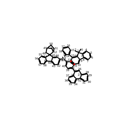 CC1(C)c2ccccc2-c2cccc(-c3ccccc3N(c3ccc(-c4cc5ccccc5c5ccccc45)cc3)c3ccc4c(c3)C3(CC5CCC3C5)c3ccccc3-4)c21